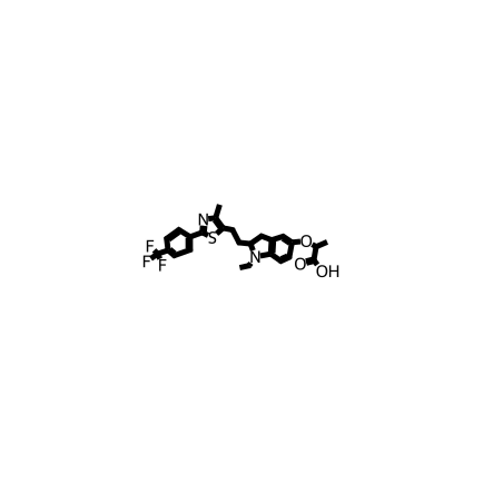 CCN1c2ccc(OC(C)C(=O)O)cc2CC1CCc1sc(-c2ccc(C(F)(F)F)cc2)nc1C